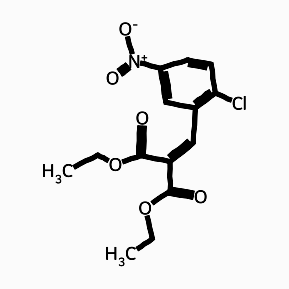 CCOC(=O)C(=Cc1cc([N+](=O)[O-])ccc1Cl)C(=O)OCC